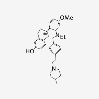 CCN(Cc1ccc(CCN2CCC(C)CC2)cc1)C1C=C(OC)C=CC1[C@@H]1CCc2cc(O)ccc2C1